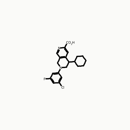 O=C(O)c1cc2c(cn1)CN(c1cc(F)cc(Cl)c1)CC2C1CCCCC1